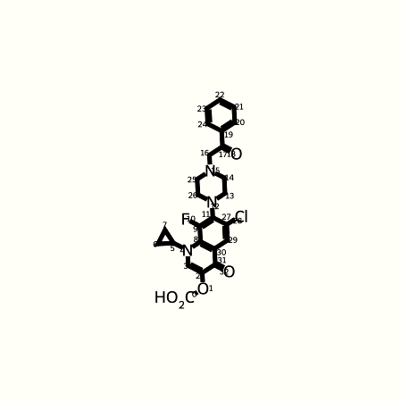 O=C(O)Oc1cn(C2CC2)c2c(F)c(N3CCN(CC(=O)c4ccccc4)CC3)c(Cl)cc2c1=O